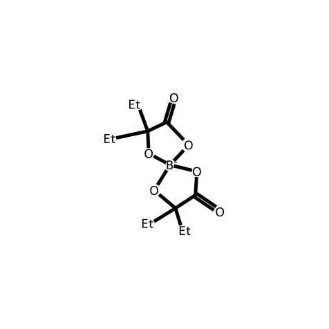 CCC1(CC)O[B-]2(OC1=O)OC(=O)C(CC)(CC)O2